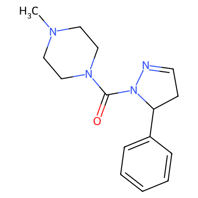 CN1CCN(C(=O)N2N=CCC2c2ccccc2)CC1